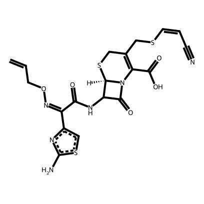 C=CCO/N=C(\C(=O)NC1C(=O)N2C(C(=O)O)=C(CS/C=C\C#N)CS[C@H]12)c1csc(N)n1